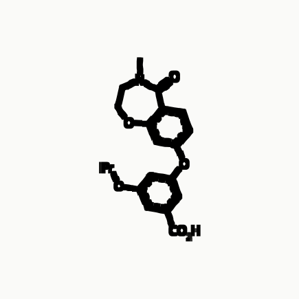 CC(C)Oc1cc(Oc2ccc3c(c2)OCCN(C)C3=O)cc(C(=O)O)c1